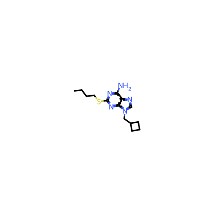 CCCCSc1nc(N)c2ncn(CC3CCC3)c2n1